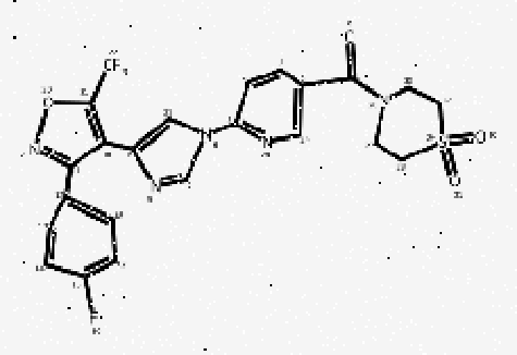 O=C(c1ccc(-n2cnc(-c3c(-c4ccc(F)cc4)noc3C(F)(F)F)c2)nc1)N1CCS(=O)(=O)CC1